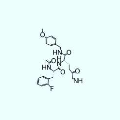 COc1ccc(CNC(=O)[C@H](CCC(=O)C=N)NC(=O)[C@H](Cc2ccccc2F)NC(C)=O)cc1